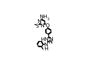 CSc1nc(N)cc(Oc2ccc(-c3nnc(Nc4ccccc4C)[nH]3)cc2)n1